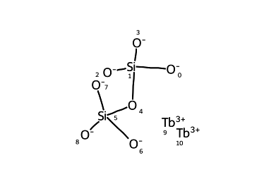 [O-][Si]([O-])([O-])O[Si]([O-])([O-])[O-].[Tb+3].[Tb+3]